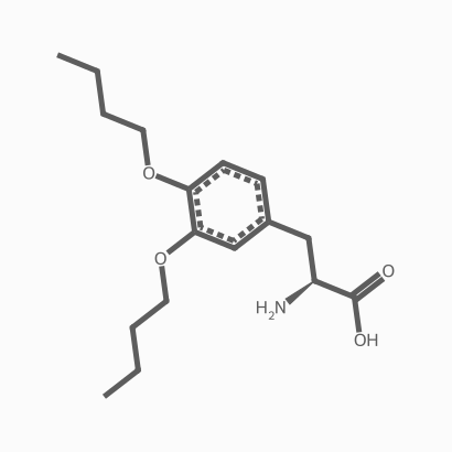 CCCCOc1ccc(C[C@H](N)C(=O)O)cc1OCCCC